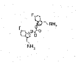 NCCc1cn(OC(=O)C(=O)On2cc(CCN)c3ccc(F)cc32)c2cc(F)ccc12